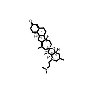 CC1=C2C[C@H]3C(CCC4=CC(=O)CC[C@@]43C)[C@@H]2CC[C@@]2(C1)O[C@@H]1CC(C)CN(CCN(C)C)[C@H]1[C@H]2C